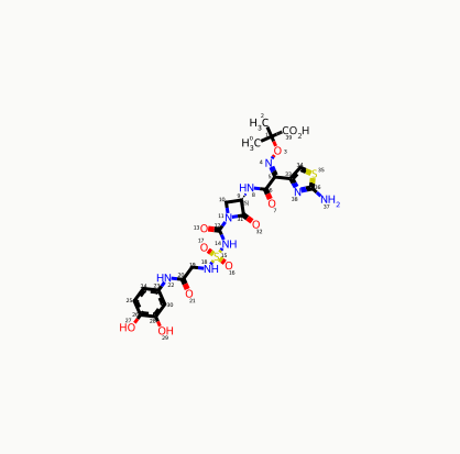 CC(C)(ON=C(C(=O)N[C@H]1CN(C(=O)NS(=O)(=O)NCC(=O)Nc2ccc(O)c(O)c2)C1=O)c1csc(N)n1)C(=O)O